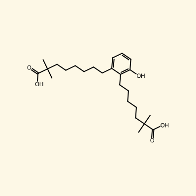 CC(C)(CCCCCCc1cccc(O)c1CCCCCC(C)(C)C(=O)O)C(=O)O